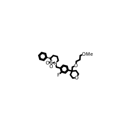 COCCCOCC1(c2ccc(CN3CCC[C@H](c4ccccc4)S3(=O)=O)c(F)c2)CCOCC1